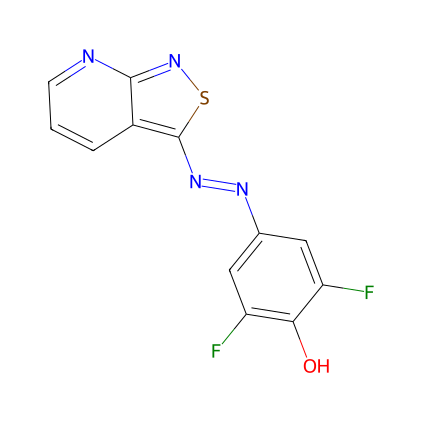 Oc1c(F)cc(/N=N/c2snc3ncccc23)cc1F